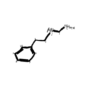 CCCCCCCNCCc1ccccc1